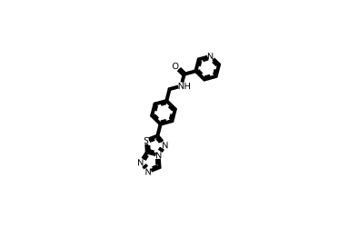 O=C(NCc1ccc(-c2nn3cnnc3s2)cc1)c1cccnc1